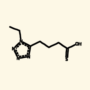 CCn1nnnc1CCCC(O)=S